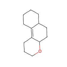 C1CCC2CCC3OCCCC3=C2C1